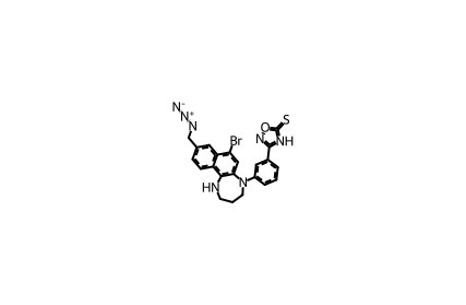 [N-]=[N+]=NCc1ccc2c3c(cc(Br)c2c1)N(c1cccc(-c2noc(=S)[nH]2)c1)CCCN3